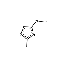 CC[N]c1csc(C)n1